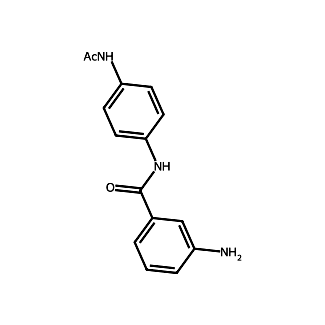 CC(=O)Nc1ccc(NC(=O)c2cccc(N)c2)cc1